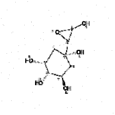 OC1OC1[C@]1(O)C[C@@H](O)[C@@H](O)[C@H](O)C1